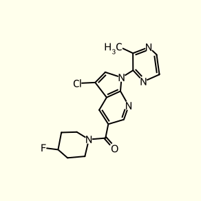 Cc1nccnc1-n1cc(Cl)c2cc(C(=O)N3CCC(F)CC3)cnc21